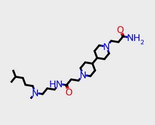 CC(C)CCCN(C)CCCNC(=O)CCN1CCC(C2CCN(CCC(N)=O)CC2)CC1